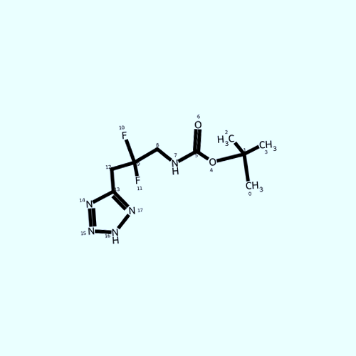 CC(C)(C)OC(=O)NCC(F)(F)Cc1nn[nH]n1